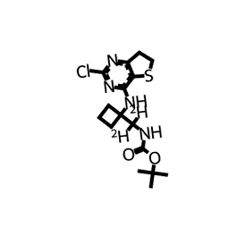 [2H]C([2H])(NC(=O)OC(C)(C)C)C1(Nc2nc(Cl)nc3c2SCC3)CCC1